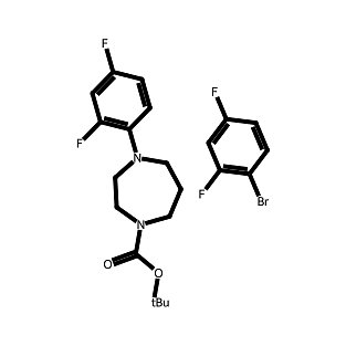 CC(C)(C)OC(=O)N1CCCN(c2ccc(F)cc2F)CC1.Fc1ccc(Br)c(F)c1